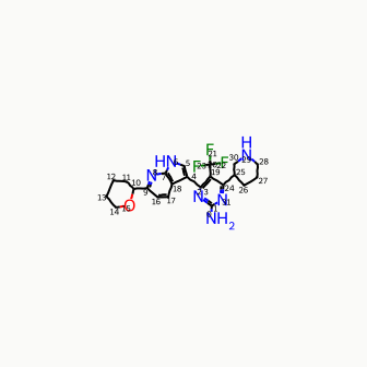 Nc1nc(-c2c[nH]c3nc(C4CCCCO4)ccc23)c(C(F)(F)F)c(C2CCCNC2)n1